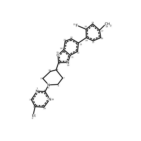 CCc1cnc(N2CCC(c3nc4cc(-c5ccc(C)cc5F)ccc4o3)CC2)nc1